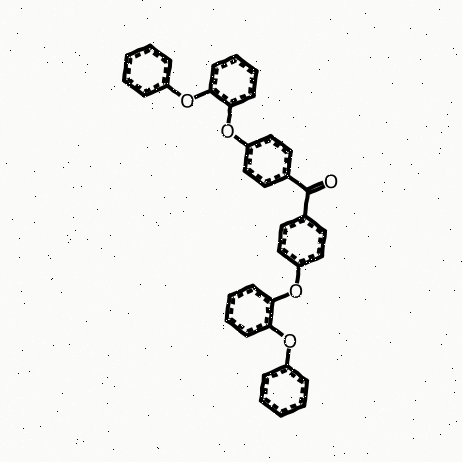 O=C(c1ccc(Oc2ccccc2Oc2ccccc2)cc1)c1ccc(Oc2ccccc2Oc2ccccc2)cc1